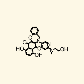 CN(CCO)c1ccc(N2Cc3ccccc3OC3=C2C(=O)c2c(O)ccc(O)c2C3=O)cn1